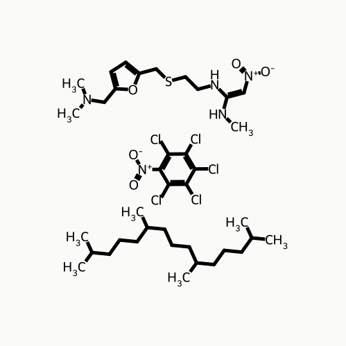 CC(C)CCCC(C)CCCC(C)CCCC(C)C.CN/C(=C/[N+](=O)[O-])NCCSCc1ccc(CN(C)C)o1.O=[N+]([O-])c1c(Cl)c(Cl)c(Cl)c(Cl)c1Cl